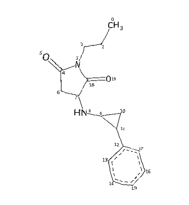 CCCN1C(=O)CC(NC2CC2c2ccccc2)C1=O